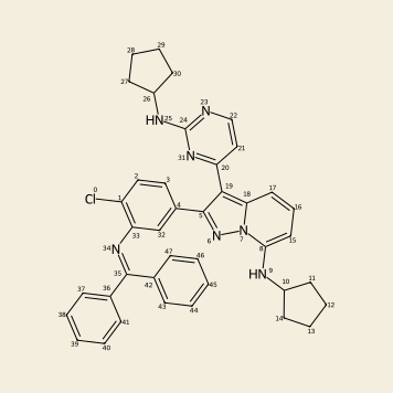 Clc1ccc(-c2nn3c(NC4CCCC4)cccc3c2-c2ccnc(NC3CCCC3)n2)cc1N=C(c1ccccc1)c1ccccc1